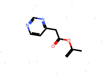 C=C(C)OC(=O)Cc1ccncn1